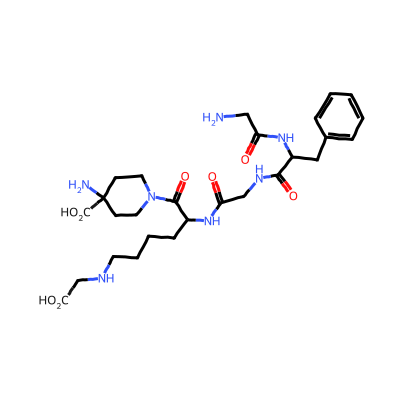 NCC(=O)NC(Cc1ccccc1)C(=O)NCC(=O)NC(CCCCNCC(=O)O)C(=O)N1CCC(N)(C(=O)O)CC1